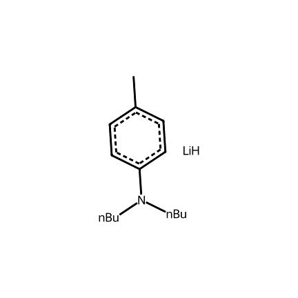 CCCCN(CCCC)c1ccc(C)cc1.[LiH]